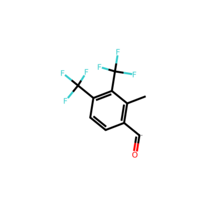 Cc1c([C]=O)ccc(C(F)(F)F)c1C(F)(F)F